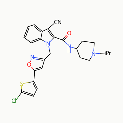 CC(C)N1CCC(NC(=O)c2c(C#N)c3ccccc3n2Cc2cc(-c3ccc(Cl)s3)on2)CC1